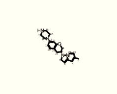 CC1=CC2=CCN([C@H]3COc4cc(N5CCNCC5)ccc4C3)N2C=C1